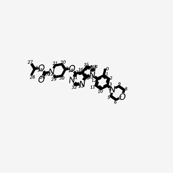 Cc1cc(N2CCOCC2)ccc1-n1ncc2c(OC3CCN(C(=O)OC(C)C)CC3)ncnc21